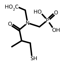 CC(CS)C(=O)N(CC(=O)O)CP(=O)(O)O